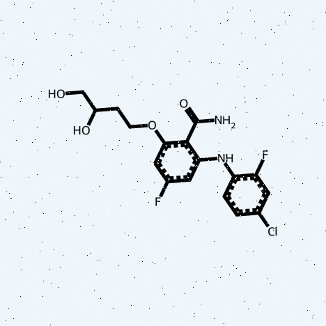 NC(=O)c1c(Nc2ccc(Cl)cc2F)cc(F)cc1OCCC(O)CO